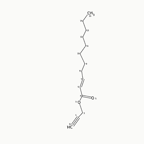 C#CCOC(=O)C=CCCCCCCCC